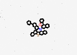 c1ccc(-c2ccc3cc(N(c4cc5ccccc5c5c4oc4ccccc45)c4c5ccccc5cc5sc6c7ccccc7ccc6c45)ccc3c2)cc1